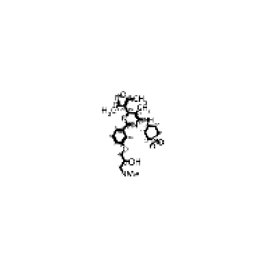 CNCC(O)COc1cccc(-c2nc(NC3CCS(=O)(=O)CC3)c(C)c(-c3c(C)noc3C)n2)c1